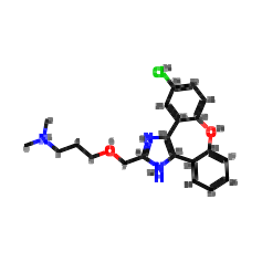 CN(C)CCCOCc1nc2c([nH]1)-c1ccccc1Oc1ccc(Cl)cc1-2